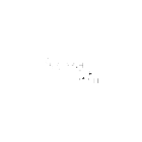 CS[C@H]1CC[C@@H](NCCS(C)(=O)=O)CC1